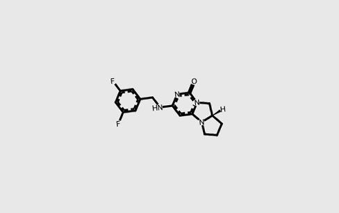 O=c1nc(NCc2cc(F)cc(F)c2)cc2n1C[C@@H]1CCCN21